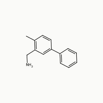 Cc1ccc(-c2ccccc2)cc1CN